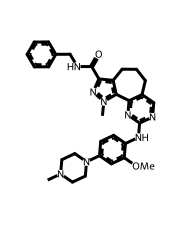 COc1cc(N2CCN(C)CC2)ccc1Nc1ncc2c(n1)-c1c(c(C(=O)NCc3ccccc3)nn1C)CCC2